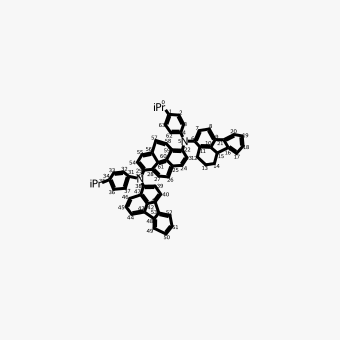 CC(C)c1ccc(N(c2ccc3c4c2CCCC4c2ccccc2-3)c2ccc3ccc4c(N(c5ccc(C(C)C)cc5)c5ccc6c7c(cccc57)-c5ccccc5-6)ccc5ccc2c3c54)cc1